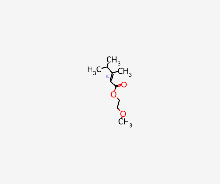 COCCOC(=O)/C=C(\C)C(C)C